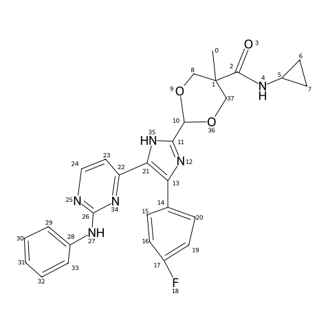 CC1(C(=O)NC2CC2)COC(c2nc(-c3ccc(F)cc3)c(-c3ccnc(Nc4ccccc4)n3)[nH]2)OC1